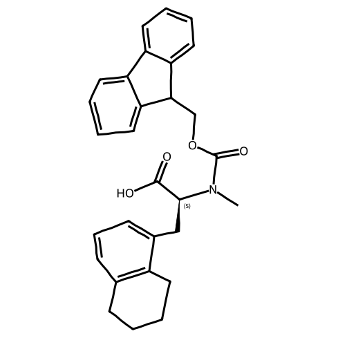 CN(C(=O)OCC1c2ccccc2-c2ccccc21)[C@@H](Cc1cccc2c1CCCC2)C(=O)O